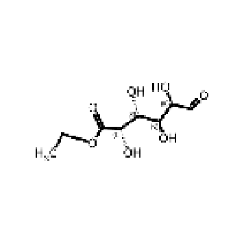 CCOC(=O)[C@@H](O)[C@H](O)[C@H](O)[C@@H](O)C=O